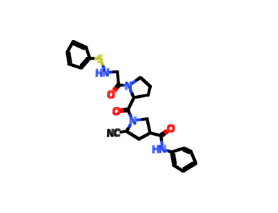 N#CC1CC(C(=O)Nc2ccccc2)CN1C(=O)C1CCCN1C(=O)CNSc1ccccc1